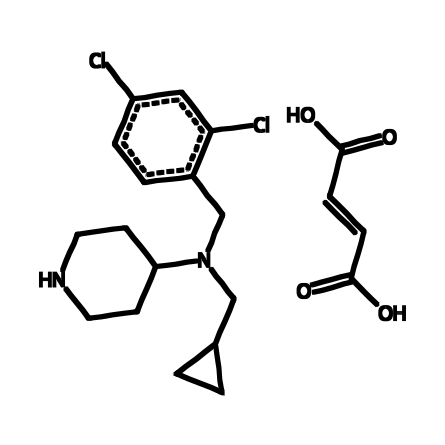 Clc1ccc(CN(CC2CC2)C2CCNCC2)c(Cl)c1.O=C(O)C=CC(=O)O